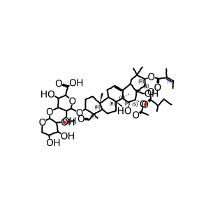 C/C=C(/C)C(=O)O[C@H]1[C@H](OC(=O)C(C)CC)[C@@]2(CO)C(CC1(C)C)C1=CCC3[C@@]4(C)CCC(OC5OC(C(=O)O)C(O)C(OC6OCC(O)C(O)C6O)C5O)[C@@](C)(C=O)C4CC[C@@]3(C)[C@]1(C)[C@@H](O)[C@H]2OC(C)=O